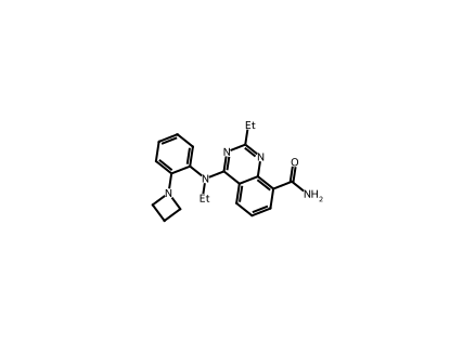 CCc1nc(N(CC)c2ccccc2N2CCC2)c2cccc(C(N)=O)c2n1